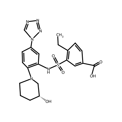 CCc1ccc(C(=O)O)cc1S(=O)(=O)Nc1cc(-n2cnnn2)ccc1N1CCC[C@@H](O)C1